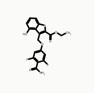 CCOC(=O)c1sc2cccc(O)c2c1COc1cc(F)c(C(N)=O)c(F)c1